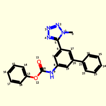 Cn1nnnc1-c1cc(NC(=O)Oc2ccccc2)cc(-c2ccccc2)c1